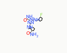 NC(=O)c1nc(NCc2cccc(F)c2)nc(-c2ncc3c(C(N)=O)cccn23)n1